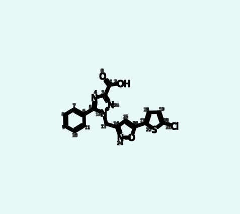 O=C(O)c1nc(-c2ccccc2)n(Cc2cc(-c3ccc(Cl)s3)on2)n1